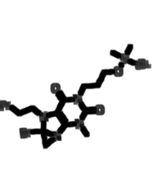 CC(C)CCN1c2c(n(C)c(=O)n(CCCO[Si](C)(C)C(C)(C)C)c2=O)N2CC12Br